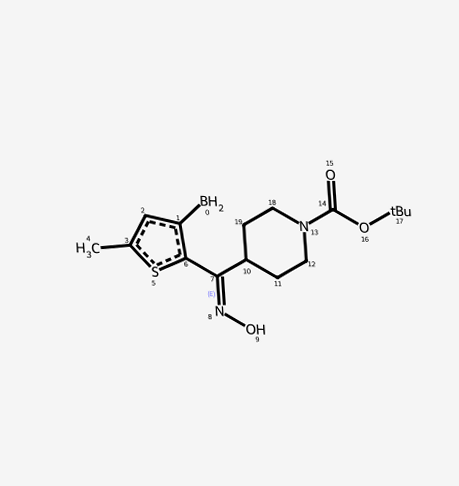 Bc1cc(C)sc1/C(=N/O)C1CCN(C(=O)OC(C)(C)C)CC1